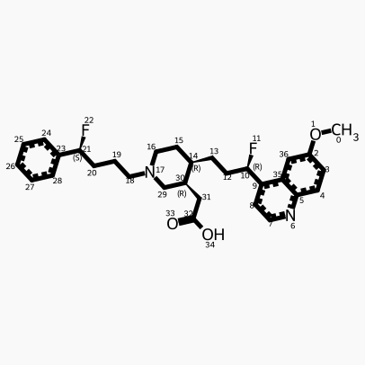 COc1ccc2nccc([C@H](F)CC[C@@H]3CCN(CCC[C@H](F)c4ccccc4)C[C@@H]3CC(=O)O)c2c1